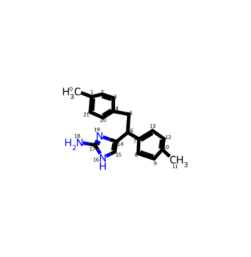 Cc1ccc(CC(c2ccc(C)cc2)c2c[nH]c(N)n2)cc1